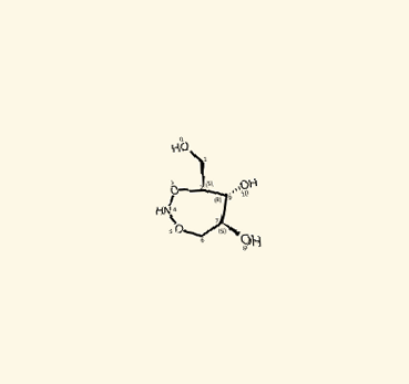 OC[C@@H]1ONOC[C@H](O)[C@H]1O